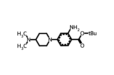 CN(C)C1CCN(c2ccc(C(=O)OC(C)(C)C)c(N)c2)CC1